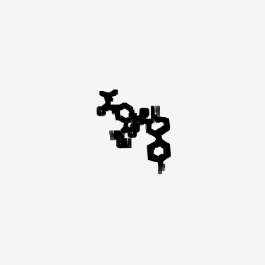 CN(C)C(=O)N1CCN(S(=O)(=O)C2CC(c3ccc(F)cc3)=CCN2)[C@@H](C(=O)NO)C1